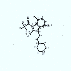 Br.Cc1cccc2c1[n+](C(=O)C(C)(C)C)c(N)n2CCN1CCOCC1